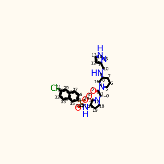 C[C@@H](C(=O)N1CCCC(NCc2cc[nH]n2)C1)N1CC[C@H](NS(=O)(=O)c2ccc3cc(Cl)ccc3c2)C1=O